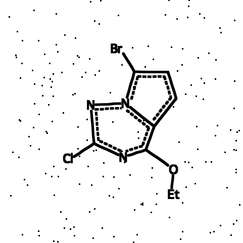 CCOc1nc(Cl)nn2c(Br)ccc12